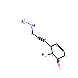 CNCC#CC1C=CCC(=O)C1C